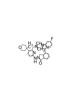 CN(C)Cc1nc(NN2Cc3c(cccc3-c3cnc4cc(F)ccn34)C2=O)ccc1C1(C)CCOCC1